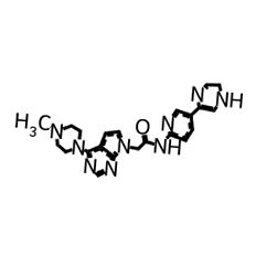 CN1CCN(c2ncnc3c2ccn3CC(=O)Nc2ccc(C3=CNCC=N3)cn2)CC1